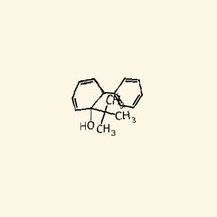 CC(C)(C)C1(O)C=CC=CC1c1ccccc1